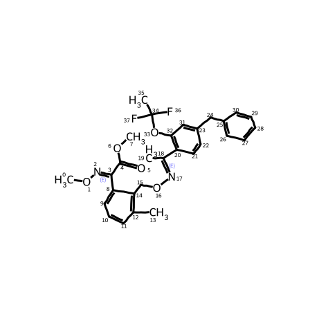 CO/N=C(/C(=O)OC)c1cccc(C)c1CO/N=C(\C)c1ccc(Cc2ccccc2)cc1OC(C)(F)F